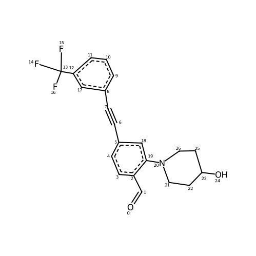 O=Cc1ccc(C#Cc2cccc(C(F)(F)F)c2)cc1N1CCC(O)CC1